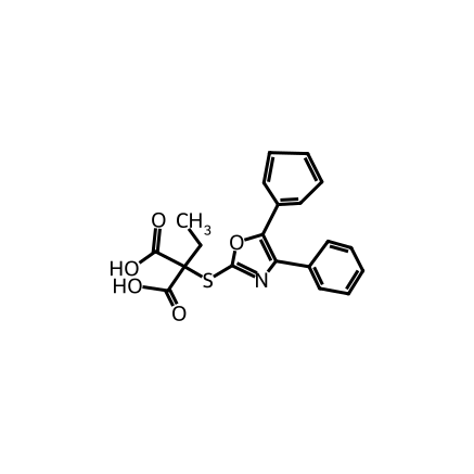 CCC(Sc1nc(-c2ccccc2)c(-c2ccccc2)o1)(C(=O)O)C(=O)O